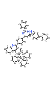 C1=C(c2ccc(-c3nc4ccccc4c4cc5c(cc34)-c3ccccc3C53c4ccccc4-c4ccccc43)cc2)N=C(c2ccccc2)NC1c1ccc(-c2ccccc2)cc1